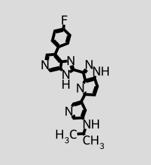 CC(C)Nc1cncc(-c2ccc3[nH]nc(-c4nc5c(-c6ccc(F)cc6)cncc5[nH]4)c3n2)c1